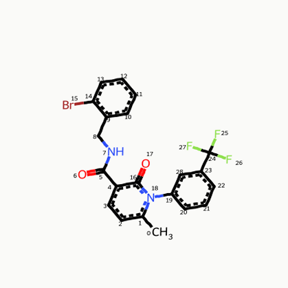 Cc1ccc(C(=O)NCc2ccccc2Br)c(=O)n1-c1cccc(C(F)(F)F)c1